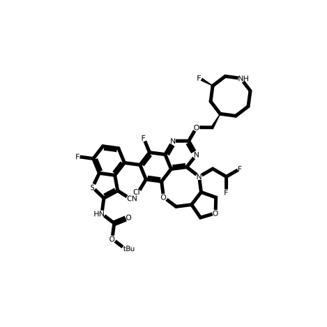 CC(C)(C)OC(=O)Nc1sc2c(F)ccc(-c3c(Cl)c4c5c(nc(OC[C@@H]6CCCNC[C@H](F)C6)nc5c3F)N(CC(F)F)C3COCC3CO4)c2c1C#N